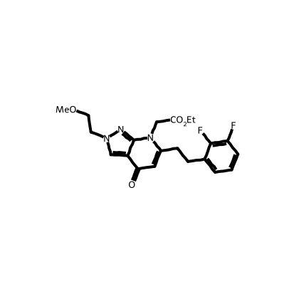 CCOC(=O)Cn1c(CCc2cccc(F)c2F)cc(=O)c2cn(CCOC)nc21